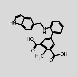 Cc1c(C(=O)O)cc(-c2ccccc2NCc2ccc3[nH]ccc3c2)cc1C(=O)O